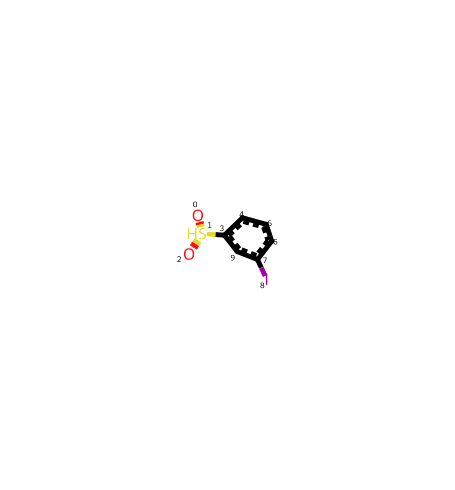 O=[SH](=O)c1cccc(I)c1